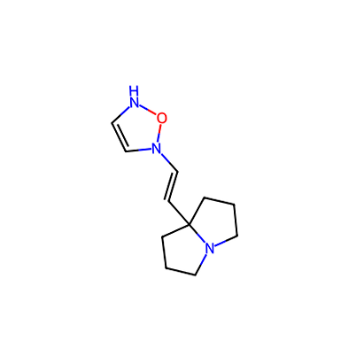 C1=CN(C=CC23CCCN2CCC3)ON1